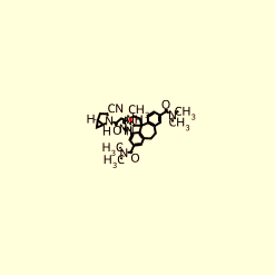 C[C@H](CC1(c2nnc[nH]2)c2ccc(C(=O)N(C)C)cc2CCc2cc(C(=O)N(C)C)ccc21)NCC(=O)N1[C@H](C#N)C[C@@H]2C[C@@H]21